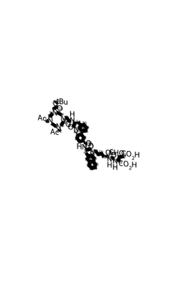 CC(=O)CN1CCN(CC(C)=O)CCN(CC(=O)OC(C)(C)C)CCN(CC(=O)N[C@@H](Cc2ccccc2)C(=O)NC[C@H]2CC[C@H](C(=O)N[C@@H](Cc3ccc4ccccc4c3)C(=O)NCCCC[C@H](NC(=O)N[C@@H](CCC(=O)O)C(=O)O)OC=O)CC2)CC1